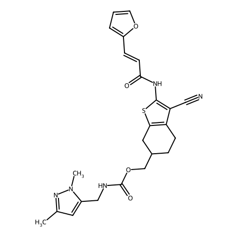 Cc1cc(CNC(=O)OCC2CCc3c(sc(NC(=O)C=Cc4ccco4)c3C#N)C2)n(C)n1